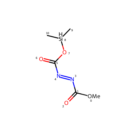 COC(=O)N=NC(=O)O[SiH](C)C